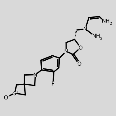 N/C=C\N(N)C[C@H]1CN(c2ccc(N3CC4(C3)C[S+]([O-])C4)c(F)c2)C(=O)O1